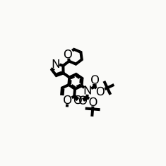 C=Cc1c(C2=CC=NC2C2CCCCO2)ccc(N(C(=O)OC(C)(C)C)C(=O)OC(C)(C)C)c1C(=O)OC